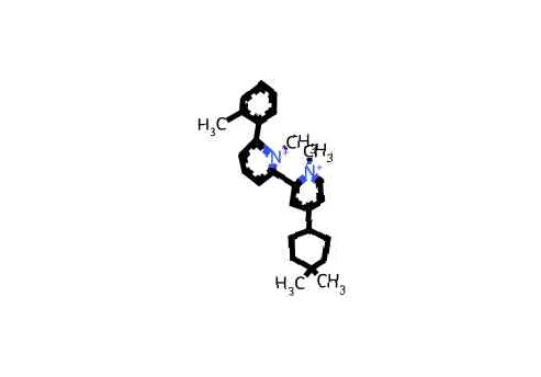 Cc1ccccc1-c1cccc(-c2cc(C3CCC(C)(C)CC3)cc[n+]2C)[n+]1C